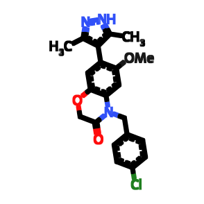 COc1cc2c(cc1-c1c(C)n[nH]c1C)OCC(=O)N2Cc1ccc(Cl)cc1